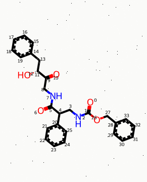 O=C(NCC(C(=O)NCC(=O)[C@H](O)Cc1ccccc1)c1ccccc1)OCc1ccccc1